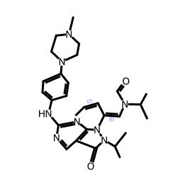 C/C=C\C(=C/N(C=O)C(C)C)n1c2nc(Nc3ccc(N4CCN(C)CC4)cc3)ncc2c(=O)n1C(C)C